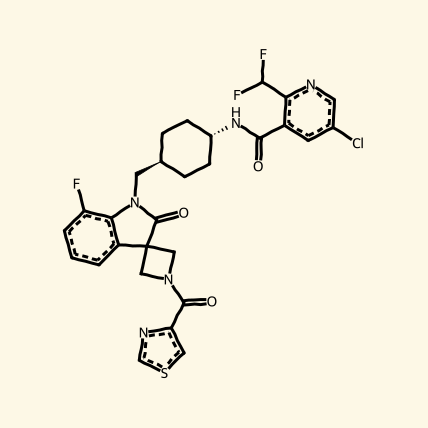 O=C(N[C@H]1CC[C@H](CN2C(=O)C3(CN(C(=O)c4cscn4)C3)c3cccc(F)c32)CC1)c1cc(Cl)cnc1C(F)F